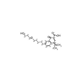 CN(C)n1cc(C(=O)O)c(=O)c2cc(CCCCCOCCCO)ccc21